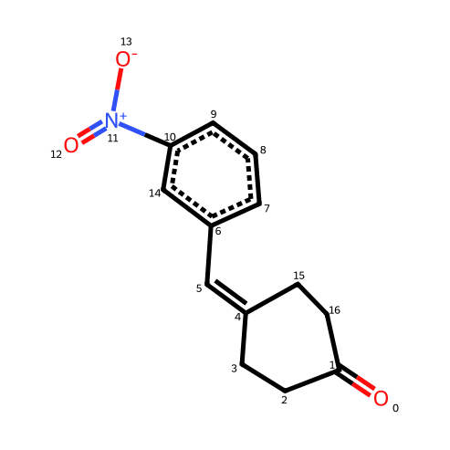 O=C1CCC(=Cc2cccc([N+](=O)[O-])c2)CC1